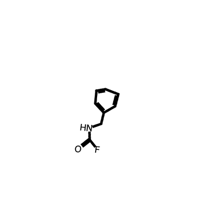 O=C(F)NCc1ccccc1